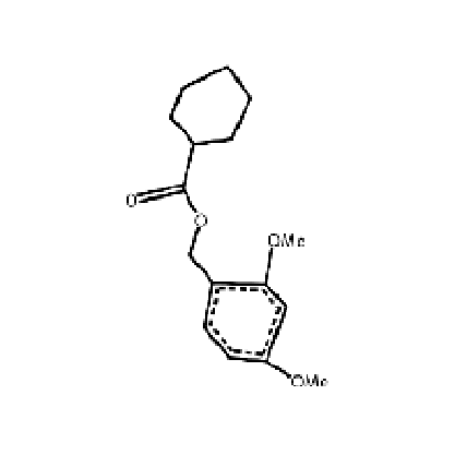 COc1ccc(COC(=O)C2CCCCC2)c(OC)c1